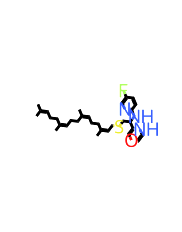 CC(C)=CCCC(C)=CCCC(C)=CCCC(C)=CCSCC(Nc1ccc(F)cn1)C1=COC=CN1